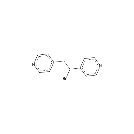 BrC(Cc1ccncc1)c1ccncc1